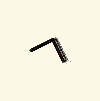 [Fe+3].[O-2].[O-2].[O-2].[O-2].[O-2].[O-2].[O-2].[O-2].[O-2].[O-2].[O-2].[O-2].[O-2].[O-2].[O-2].[O-2].[O-2].[O-2].[O-2].[O-2].[O-2].[O-2].[O-2].[O-2].[O-2].[O-2].[O-2].[O-2].[O-2].[O-2].[O-2].[O-2].[O-2].[O-2].[O-2].[O-2].[O-2].[O-2].[O-2].[O-2].[O-2].[O-2].[O-2].[O-2].[O-2].[O-2].[O-2].[O-2].[O-2].[O-2].[O-2].[O-2].[O-2].[O-2].[O-2].[O-2].[O-2].[O-2].[O-2].[O-2].[O-2].[O-2].[O-2].[O-2].[O-2].[O-2].[O-2].[O-2].[O-2].[O-2].[O-2].[O-2].[O-2].[O-2].[O-2].[O-2].[O-2].[O-2].[O-2].[O-2]